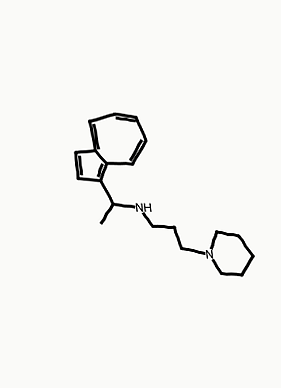 CC(NCCCN1CCCCC1)c1ccc2cccccc1-2